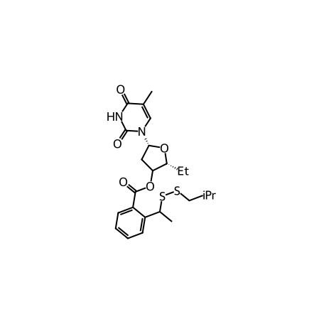 CC[C@H]1O[C@@H](n2cc(C)c(=O)[nH]c2=O)CC1OC(=O)c1ccccc1C(C)SSCC(C)C